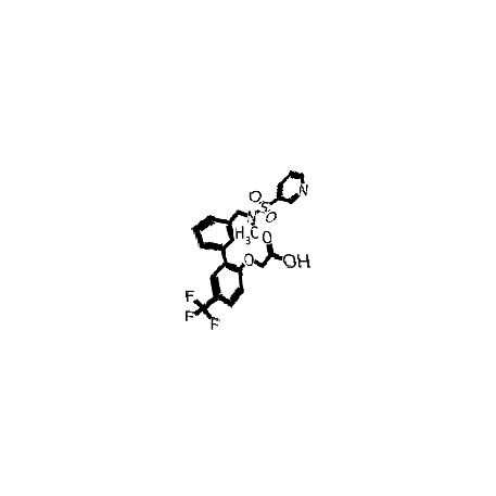 CN(Cc1cccc(-c2cc(C(F)(F)F)ccc2OCC(=O)O)c1)S(=O)(=O)c1cccnc1